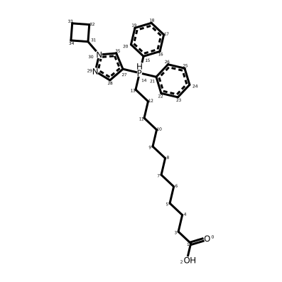 O=C(O)CCCCCCCCCCC[PH](c1ccccc1)(c1ccccc1)c1cnn(C2CCC2)c1